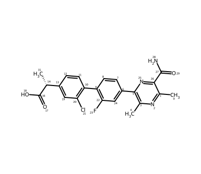 Cc1nc(C)c(-c2ccc(-c3ccc([C@@H](C)C(=O)O)cc3Cl)c(F)c2)nc1C(N)=O